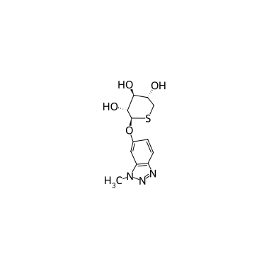 Cn1nnc2ccc(O[C@@H]3SC[C@@H](O)[C@H](O)[C@H]3O)cc21